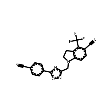 N#Cc1ccc(-c2nc(CN3CCc4c3ccc(C#N)c4C(F)(F)F)no2)cc1